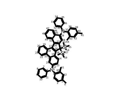 Cc1ccc(N(c2ccccc2)c2ccc3c4c(c5ccccc5c3c2)-c2c(cc(N(c3ccccc3)c3ccc(C)cc3C)c3ccccc23)C4([Si](C)(C)C)[Si](C)(C)C)c(C)c1